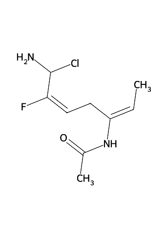 C/C=C(\C/C=C(/F)C(N)Cl)NC(C)=O